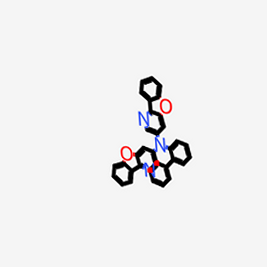 c1ccc(-c2ccccc2N(c2cnc3c(c2)oc2ccccc23)c2cnc3c(c2)oc2ccccc23)cc1